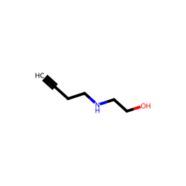 C#CCCNCCO